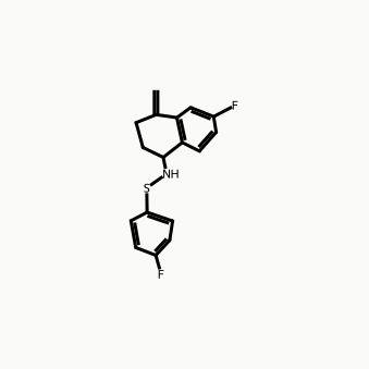 C=C1CCC(NSc2ccc(F)cc2)c2ccc(F)cc21